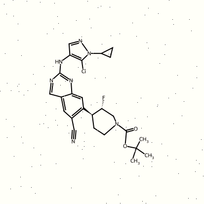 CC(C)(C)OC(=O)N1CC[C@@H](c2cc3nc(Nc4cnn(C5CC5)c4Cl)ncc3cc2C#N)[C@H](F)C1